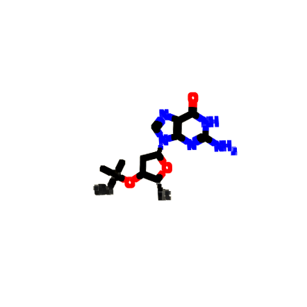 CC[C@H]1O[C@@H](n2cnc3c(=O)[nH]c(N)nc32)CC1O[Si](C)(C)C(C)(C)C